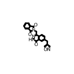 O=C1c2ccccc2C(=O)N1Cc1n[nH]c(=O)c2cc(Cc3cnoc3)ccc12